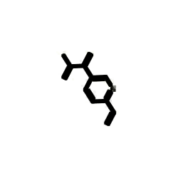 C=Cc1ccc(C(=C)C(=C)C)cn1